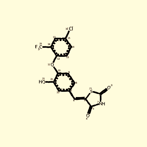 O=C1NC(=O)/C(=C/c2ccc(Oc3ccc(Cl)cc3C(F)(F)F)c(O)c2)S1